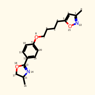 Cc1cc(CCCCOc2ccc(C3=NC(C)CO3)cc2)on1